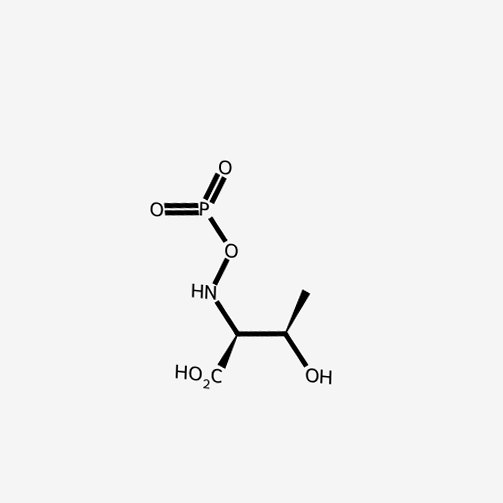 C[C@@H](O)[C@H](NOP(=O)=O)C(=O)O